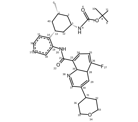 C[C@@H]1C[C@H](NC(=O)OC(C)(C)C)C[C@H](c2ccncc2NC(=O)C2=CC=C(F)C3C=C(C4CCOCC4)C=NC23)C1